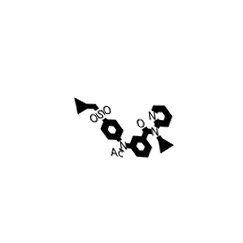 CC(=O)N(c1ccc(S(=O)(=O)CC2CC2)cc1)c1cccc(C(=O)N(c2ccccn2)C2CC2)c1